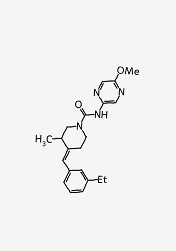 CCc1cccc(C=C2CCN(C(=O)Nc3cnc(OC)cn3)CC2C)c1